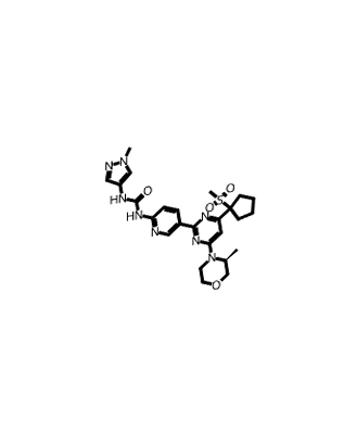 C[C@H]1COCCN1c1cc(C2(S(C)(=O)=O)CCCC2)nc(-c2ccc(NC(=O)Nc3cnn(C)c3)nc2)n1